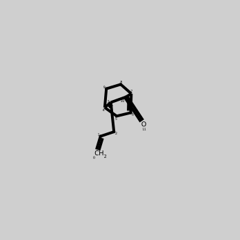 C=CCC1=C2CC=C(CC2)C1=O